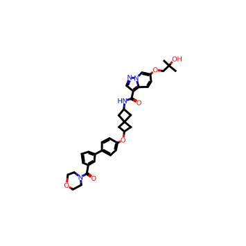 CC(C)(O)COc1ccc2c(C(=O)NC3CC4(C3)CC(Oc3ccc(-c5cccc(C(=O)N6CCOCC6)c5)cc3)C4)cnn2c1